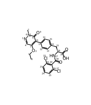 CCOc1cnn(C)c(=O)c1-c1ccc(C[C@H](NC(=O)c2c(Cl)cccc2Cl)C(=O)O)cc1